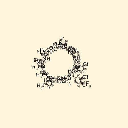 CC[C@H](C)[C@@H]1NC(=O)[C@H](C)N(C)C(=O)C[C@@H](C(=O)N2CCCCC2)N(C)C(=O)[C@H](C(C)C)N(C)C(=O)C2(CCCC2)NC(=O)[C@H](Cc2ccccc2Cl)N(CC)C(=O)[C@H](CCc2ccc(C(F)(F)F)c(Cl)c2)NC(=O)CN(C)C(=O)[C@H](Cc2ccc(C)cc2)N(C)C(=O)CN(C)C(=O)CN(C)C1=O